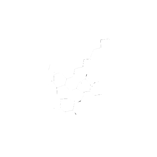 C[C@H]1[C@H](C)[C@H](O)C(OC2C(OC3OC(CO)[C@H](O)[C@H](O)[C@H]3O)C(OCCCNCCCN)O[C@@H](CO)[C@H]2O)O[C@H]1CO